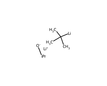 CC(C)[O-].[Li+].[Li][C](C)(C)C